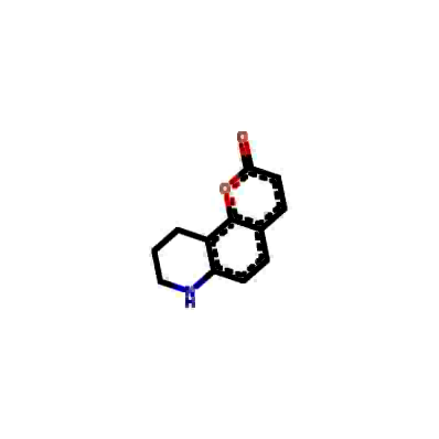 O=c1ccc2ccc3c(c2o1)CCCN3